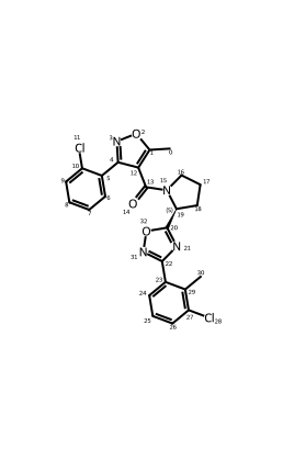 Cc1onc(-c2ccccc2Cl)c1C(=O)N1CCC[C@H]1c1nc(-c2cccc(Cl)c2C)no1